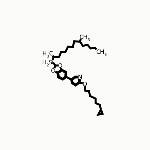 CCCCCC(C)CCCCCCC(C)[SiH2]C1Oc2ccc(-c3ccc(OCCCCCCC4CC4)nc3)cc2O1